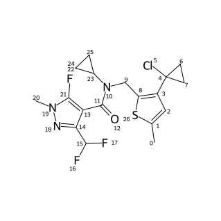 Cc1cc(C2(Cl)CC2)c(CN(C(=O)c2c(C(F)F)nn(C)c2F)C2CC2)s1